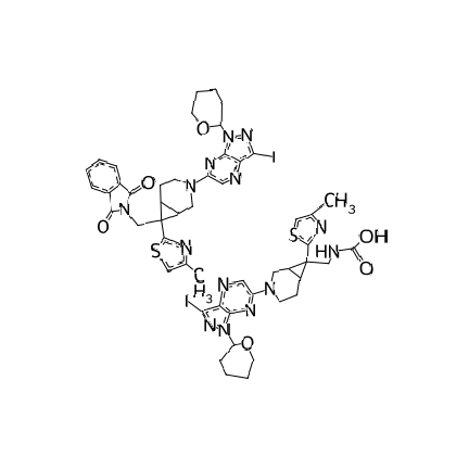 Cc1csc(C2(CN3C(=O)c4ccccc4C3=O)C3CCN(c4cnc5c(I)nn(C6CCCCO6)c5n4)CC32)n1.Cc1csc(C2(CNC(=O)O)C3CCN(c4cnc5c(I)nn(C6CCCCO6)c5n4)CC32)n1